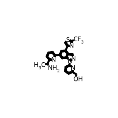 CC(N)c1cccc(-c2cc(-c3csc(C(F)(F)F)n3)c3cnn(-c4cccc(CO)n4)c3c2)n1